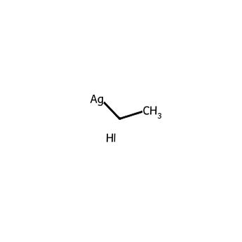 C[CH2][Ag].I